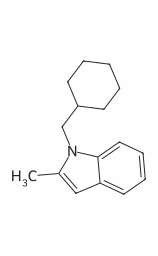 Cc1cc2ccccc2n1CC1CCCCC1